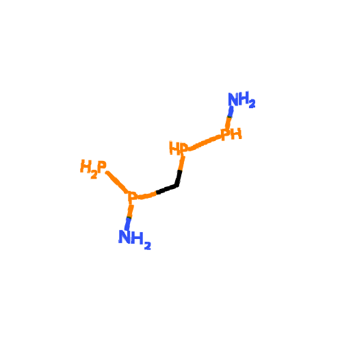 NPPCP(N)P